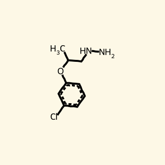 CC(CNN)Oc1cccc(Cl)c1